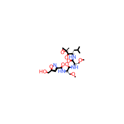 COC[C@H](NC(=O)c1cc(CO)on1)C(=O)N[C@@H](COC)C(=O)N[C@@H](CC(C)C)C(=O)[C@@]1(C)CO1